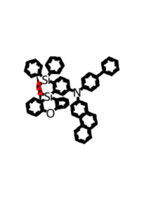 c1ccc(-c2ccc(N(c3ccc4c(c3)[Si]3(c5ccccc5Oc5ccccc53)c3ccccc3[Si]4(c3ccccc3)c3ccccc3)c3ccc4c(ccc5ccccc54)c3)cc2)cc1